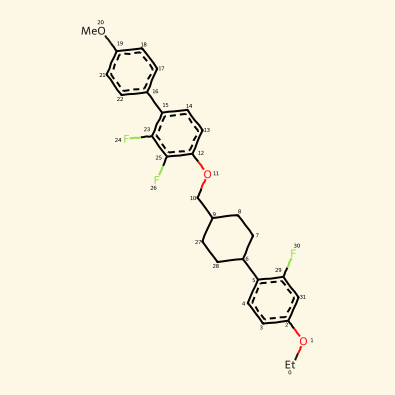 CCOc1ccc(C2CCC(COc3ccc(-c4ccc(OC)cc4)c(F)c3F)CC2)c(F)c1